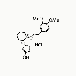 COc1ccc(CCO[C@@H]2CCCC[C@H]2n2ccc(O)c2)cc1OC.Cl